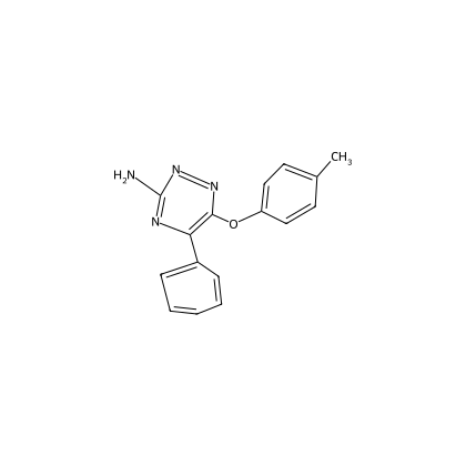 Cc1ccc(Oc2nnc(N)nc2-c2ccccc2)cc1